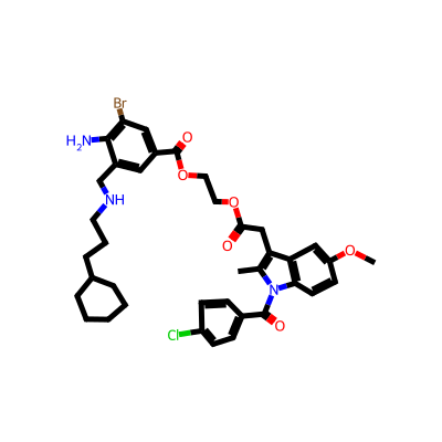 COc1ccc2c(c1)c(CC(=O)OCCOC(=O)c1cc(Br)c(N)c(CNCCCC3CCCCC3)c1)c(C)n2C(=O)c1ccc(Cl)cc1